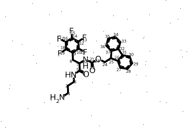 NCCCNC(=O)C(Cc1c(F)c(F)c(F)c(F)c1F)NC(=O)OCC1c2ccccc2-c2ccccc21